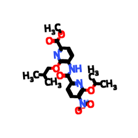 COC(=O)c1ccc(NC(=O)c2ccc([N+](=O)[O-])c(OC(C)C)n2)c(OCC(C)C)n1